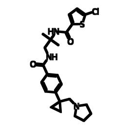 CC(C)(CNC(=O)c1ccc(C2(CN3CCCC3)CC2)cc1)NC(=O)c1ccc(Cl)s1